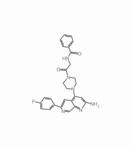 Nc1cc(N2CCN(C(=O)CNC(=O)c3ccccc3)CC2)c2cc(-c3ccc(F)cc3)ncc2n1